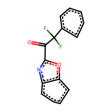 O=C(c1nc2ccccc2o1)C(F)(F)c1ccccc1